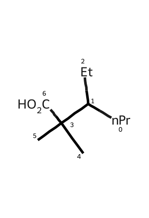 CCCC(CC)C(C)(C)C(=O)O